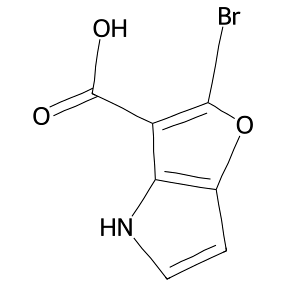 O=C(O)c1c(Br)oc2cc[nH]c12